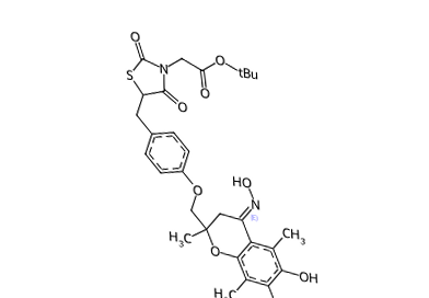 Cc1c(C)c2c(c(C)c1O)/C(=N/O)CC(C)(COc1ccc(CC3SC(=O)N(CC(=O)OC(C)(C)C)C3=O)cc1)O2